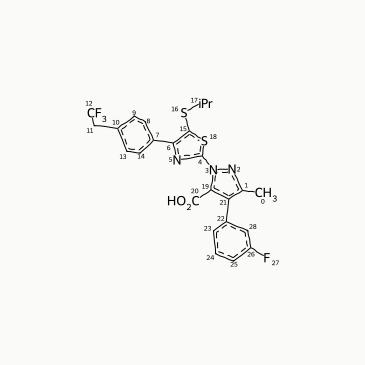 Cc1nn(-c2nc(-c3ccc(CC(F)(F)F)cc3)c(SC(C)C)s2)c(C(=O)O)c1-c1cccc(F)c1